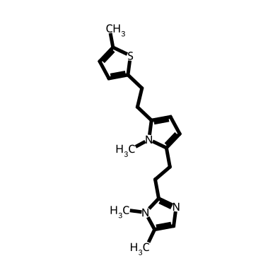 Cc1ccc(CCc2ccc(CCc3ncc(C)n3C)n2C)s1